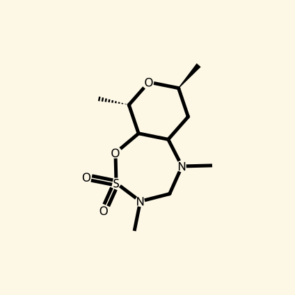 C[C@@H]1O[C@@H](C)CC2C1OS(=O)(=O)N(C)CN2C